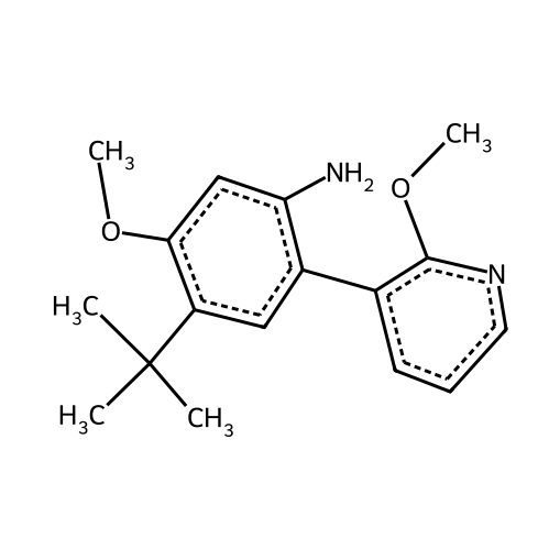 COc1cc(N)c(-c2cccnc2OC)cc1C(C)(C)C